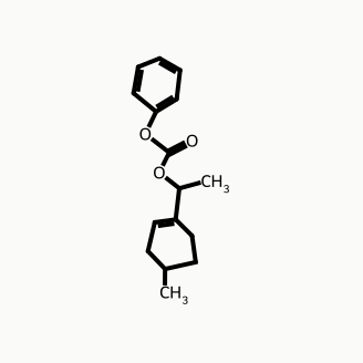 CC1CC=C(C(C)OC(=O)Oc2ccccc2)CC1